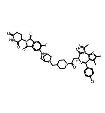 Cc1sc2c(c1C)C(c1ccc(Cl)cc1)=N[C@@H](CC(=O)N1CCC(CN3CC4CC3CN4c3cc4c(cc3F)C(=O)N(C3CCC(=O)NC3=O)C4=O)CC1)c1nnc(C)n1-2